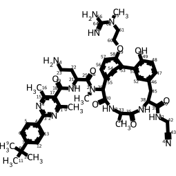 Cc1nc(-c2ccc(C(C)(C)C)cc2)nc(C)c1C(=O)NC(CCN)C(=O)N(C)C1C(=O)NC(C)C(=O)NC(C(=O)NCC#N)Cc2ccc(O)c(c2)-c2cc1ccc2OCCN(C)C(=N)N